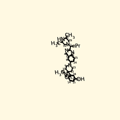 CCCC(c1ncc2cc(N3CCC(c4cccc(O)c4)(N(C)C)CC3)ccc2n1)N1CC(C)NC(C)C1